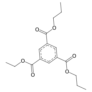 CCCOC(=O)c1cc(C(=O)OCC)cc(C(=O)OCCC)c1